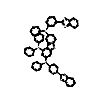 c1ccc(N(c2ccc(-c3nc4ccccc4s3)cc2)c2cc(N(c3ccccc3)c3ccccc3)c3c(c2)sc2ccc(N(c4ccccc4)c4cccc(-c5nc6ccccc6o5)c4)cc23)cc1